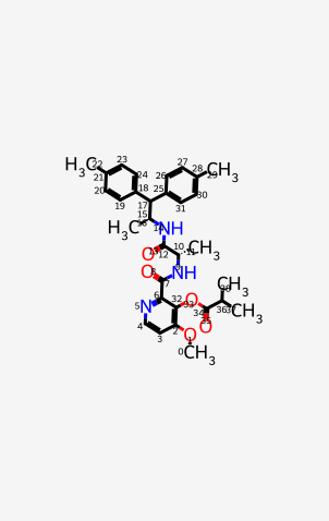 COc1ccnc(C(=O)N[C@@H](C)C(=O)N[C@@H](C)C(c2ccc(C)cc2)c2ccc(C)cc2)c1OC(=O)C(C)C